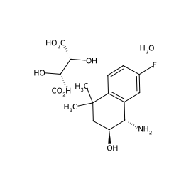 CC1(C)C[C@H](O)[C@@H](N)c2cc(F)ccc21.O.O=C(O)[C@H](O)[C@@H](O)C(=O)O